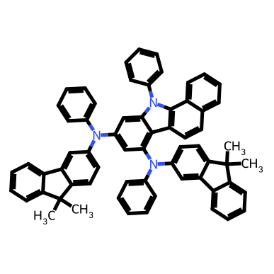 CC1(C)c2ccccc2-c2cc(N(c3ccccc3)c3cc(N(c4ccccc4)c4ccc5c(c4)-c4ccccc4C5(C)C)c4c5ccc6ccccc6c5n(-c5ccccc5)c4c3)ccc21